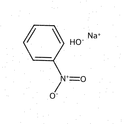 O=[N+]([O-])c1ccccc1.[Na+].[OH-]